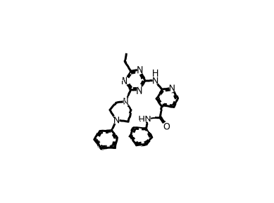 CCc1nc(Nc2cc(C(=O)Nc3ccccc3)ccn2)nc(N2CCN(c3ccccc3)CC2)n1